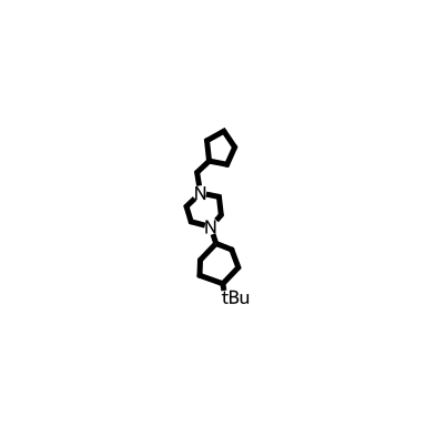 CC(C)(C)C1CCC(N2CCN(CC3CCCC3)CC2)CC1